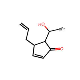 C=CCC1C=CC(=O)C1C(O)CCC